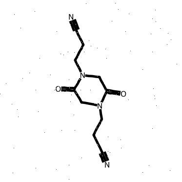 N#CCCN1CC(=O)N(CCC#N)CC1=O